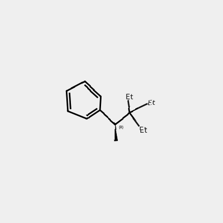 CCC(CC)(CC)[C@@H](C)c1ccccc1